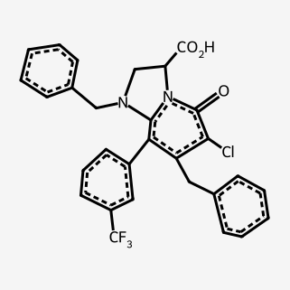 O=C(O)C1CN(Cc2ccccc2)c2c(-c3cccc(C(F)(F)F)c3)c(Cc3ccccc3)c(Cl)c(=O)n21